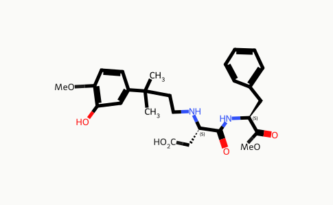 COC(=O)[C@H](Cc1ccccc1)NC(=O)[C@H](CC(=O)O)NCCC(C)(C)c1ccc(OC)c(O)c1